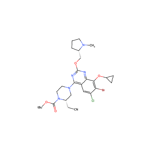 CN1CCC[C@H]1COc1nc(N2CCN(C(=O)OC(C)(C)C)[C@@H](CC#N)C2)c2cc(Cl)c(Br)c(OC3CC3)c2n1